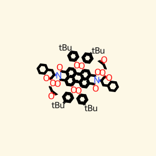 CC(C)(C)c1ccc(Oc2cc3c4c(cc(Oc5ccc(C(C)(C)C)cc5)c5c6c(Oc7ccc(C(C)(C)C)cc7)cc7c8c(cc(Oc9ccc(C(C)(C)C)cc9)c(c2c45)c86)C(=O)N(C(CC2CCCCC2)C(=O)OCC2CO2)C7=O)C(=O)N(C(CC2CCCCC2)C(=O)OCC2CO2)C3=O)cc1